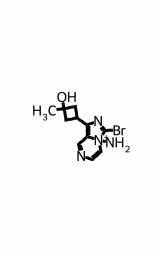 CC1(O)CC(C2=C3C=NC=C[N+]3(N)C(Br)=N2)C1